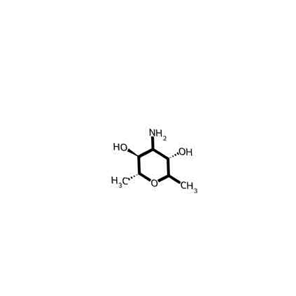 CC1O[C@H](C)[C@@H](O)C(N)[C@@H]1O